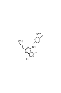 CCc1nn(C)c2c(NCc3ccc4c(c3)OCO4)nc(CCCC(=O)O)nc12